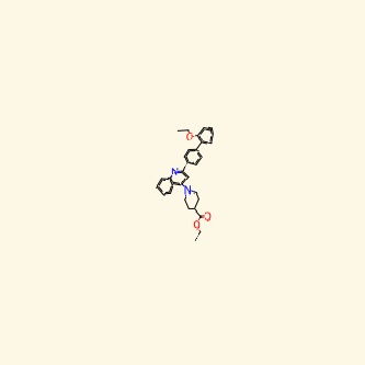 CCOC(=O)C1CCN(c2cc(-c3ccc(-c4ccccc4OCC)cc3)nc3ccccc23)CC1